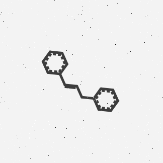 [c]1ccc(CC=Cc2ccccc2)cc1